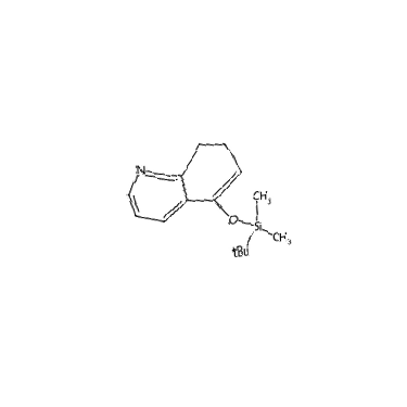 CC(C)(C)[Si](C)(C)OC1=CCCc2ncccc21